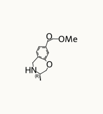 COC1OC1c1ccc2c(c1)OC[C@@H](C)NC2